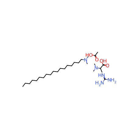 CC(=O)O.CC(C(=O)O)N(C)C.CCCCCCCCCCCCCCCCCCN(C)C.N=C(N)N